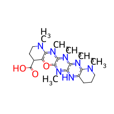 CN1CCCc2[nH]c3c(n(C)c21)n(C)c1c(oc2c(n1C)N(C)CCC2C(=O)O)n3C